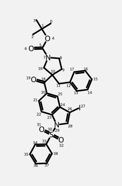 CC(C)(C)OC(=O)N1CCC(Cc2ccccc2)(C(=O)c2ccc3c(c2)c(I)cn3S(=O)(=O)c2ccccc2)C1